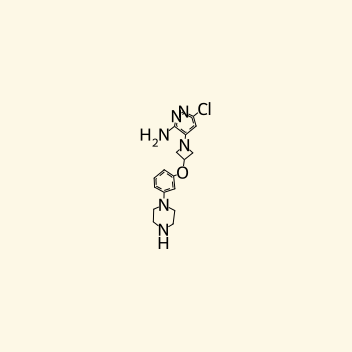 Nc1nnc(Cl)cc1N1CC(Oc2cccc(N3CCNCC3)c2)C1